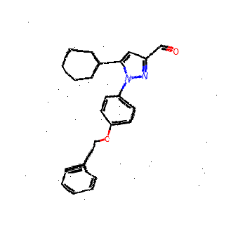 O=Cc1cc(C2CCCCC2)n(-c2ccc(OCc3ccccc3)cc2)n1